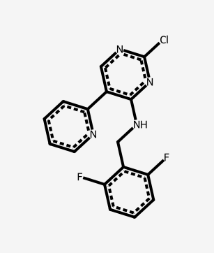 Fc1cccc(F)c1CNc1nc(Cl)ncc1-c1ccccn1